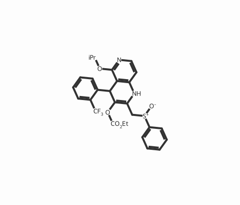 CCOC(=O)OC1=C(C[S+]([O-])c2ccccc2)Nc2ccnc(OC(C)C)c2C1c1ccccc1C(F)(F)F